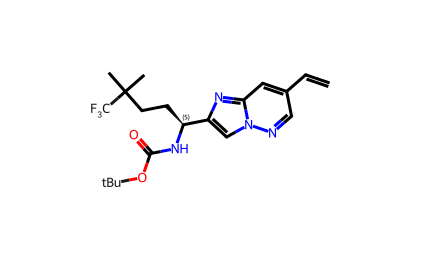 C=Cc1cnn2cc([C@H](CCC(C)(C)C(F)(F)F)NC(=O)OC(C)(C)C)nc2c1